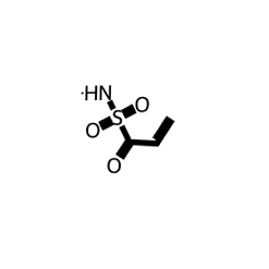 C=CC(=O)S([NH])(=O)=O